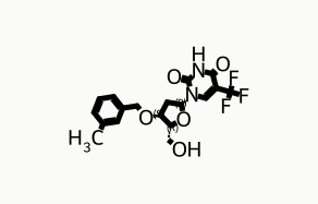 Cc1cccc(CO[C@H]2C[C@H](n3cc(C(F)(F)F)c(=O)[nH]c3=O)O[C@@H]2CO)c1